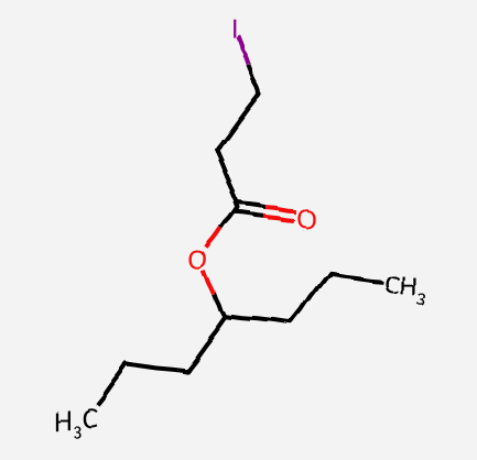 CCCC(CCC)OC(=O)CCI